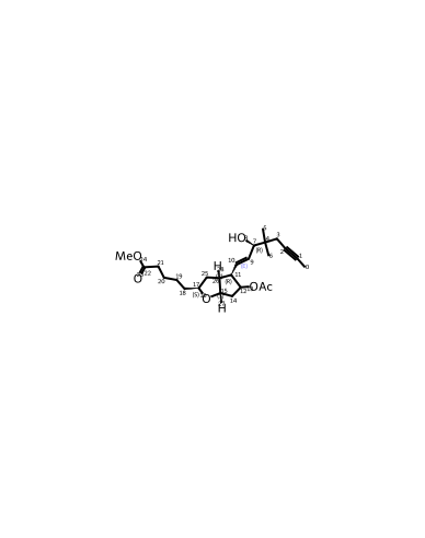 CC#CCC(C)(C)[C@H](O)/C=C/[C@H]1C(OC(C)=O)C[C@@H]2O[C@@H](CCCCC(=O)OC)C[C@@H]21